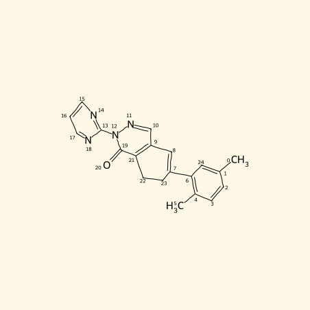 Cc1ccc(C)c(C2=Cc3cnn(-c4ncccn4)c(=O)c3CC2)c1